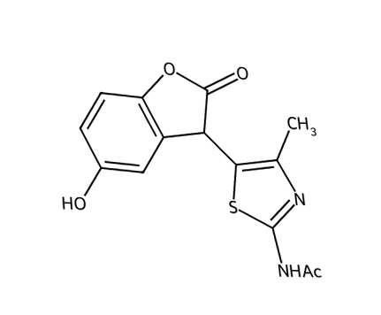 CC(=O)Nc1nc(C)c(C2C(=O)Oc3ccc(O)cc32)s1